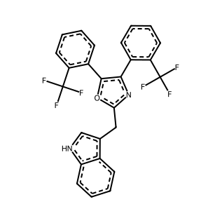 FC(F)(F)c1ccccc1-c1nc(Cc2c[nH]c3ccccc23)oc1-c1ccccc1C(F)(F)F